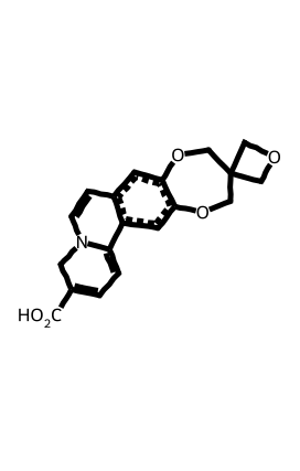 O=C(O)C1=CC=C2c3cc4c(cc3C=CN2C1)OCC1(COC1)CO4